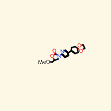 COCC1CN(c2ccc(C3=CCC4(CC3)OCCO4)cn2)C(=O)O1